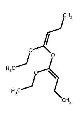 CCC=C(OCC)OC(=CCC)OCC